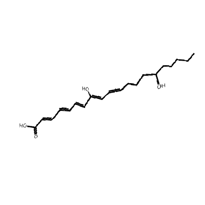 CCCCCC(O)CCC/C=C/C=C(O)/C=C/C=C/C=C/C(=O)O